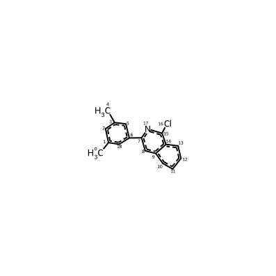 Cc1cc(C)cc(-c2cc3ccccc3c(Cl)n2)c1